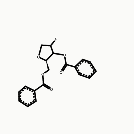 O=C(OC[C@H]1OCC(F)C1OC(=O)c1ccccc1)c1ccccc1